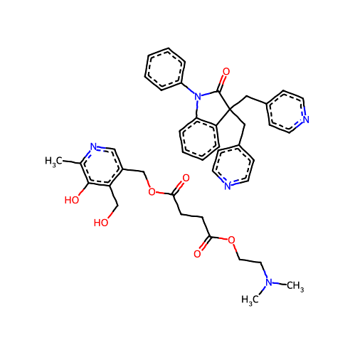 Cc1ncc(COC(=O)CCC(=O)OCCN(C)C)c(CO)c1O.O=C1N(c2ccccc2)c2ccccc2C1(Cc1ccncc1)Cc1ccncc1